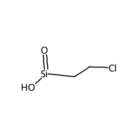 O=[Si](O)CCCl